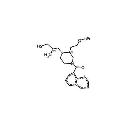 CCCOCC[C@H]1CN(C(=O)c2cccc3cccnc23)CCN1C[C@@H](N)CS